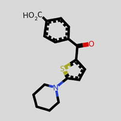 O=C(O)c1ccc(C(=O)c2ccc(N3CCCCC3)s2)cc1